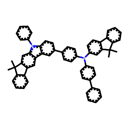 CC1(C)c2ccccc2-c2ccc(N(c3ccc(-c4ccccc4)cc3)c3ccc(-c4ccc5c(c4)c4cc6c(cc4n5-c4ccccc4)C(C)(C)c4ccccc4-6)cc3)cc21